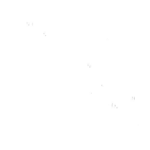 O=C(O)[C@H](CCN(CCCCc1ccc2c(n1)NCCC2)CCC(F)F)Cc1ncc(Br)cn1